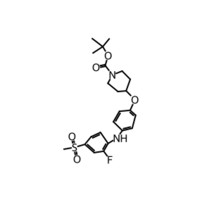 CC(C)(C)OC(=O)N1CCC(Oc2ccc(Nc3ccc(S(C)(=O)=O)cc3F)cc2)CC1